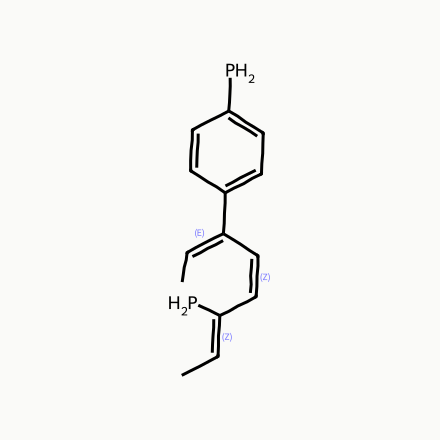 C/C=C(P)/C=C\C(=C/C)c1ccc(P)cc1